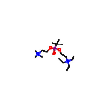 CC[N+](CC)(CC)CCOP(=O)(OCC[N+](C)(C)C)C(C)(C)C